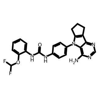 Nc1ncnc2c3c(n(-c4ccc(NC(=O)Nc5ccccc5OC(F)F)cc4)c12)CCC3